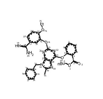 CCCCOC(=O)c1ccccc1Oc1nc(Oc2cc(C(=N)N)ccc2OCC)nc2c1nc(C)n2Cc1ccccc1